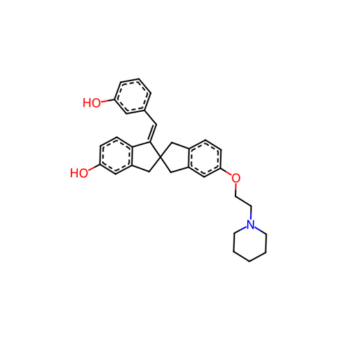 Oc1cccc(/C=C2\c3ccc(O)cc3CC23Cc2ccc(OCCN4CCCCC4)cc2C3)c1